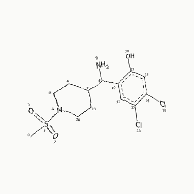 CS(=O)(=O)N1CCC(C(N)c2cc(Cl)c(Cl)cc2O)CC1